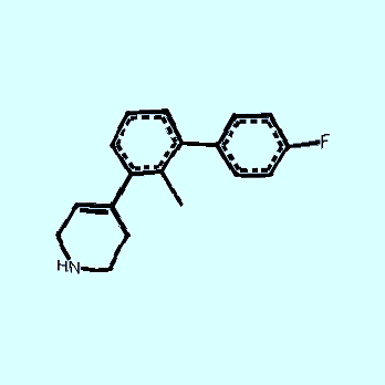 Cc1c(C2=CCNCC2)cccc1-c1ccc(F)cc1